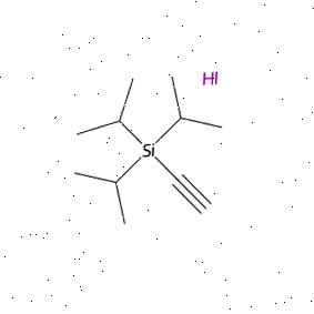 C#C[Si](C(C)C)(C(C)C)C(C)C.I